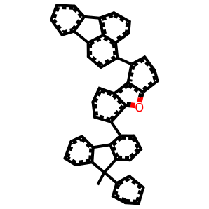 CC1(c2ccccc2)c2ccccc2-c2c(-c3cccc4c3oc3cccc(-c5ccc6c7c(cccc57)-c5ccccc5-6)c34)cccc21